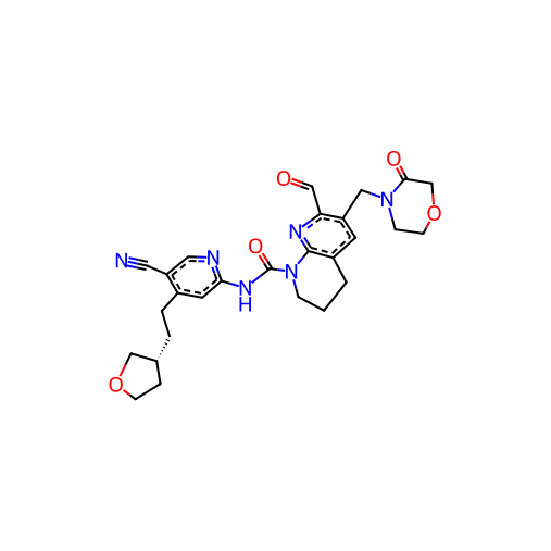 N#Cc1cnc(NC(=O)N2CCCc3cc(CN4CCOCC4=O)c(C=O)nc32)cc1CC[C@@H]1CCOC1